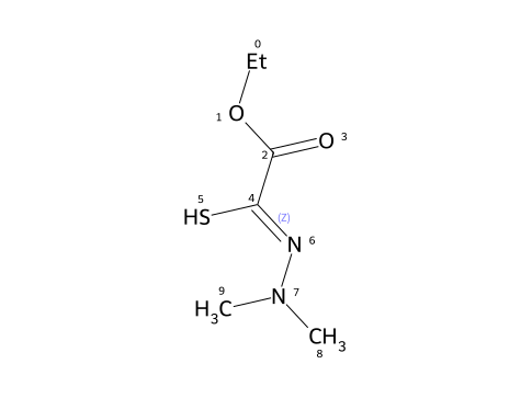 CCOC(=O)/C(S)=N/N(C)C